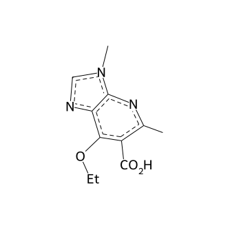 CCOc1c(C(=O)O)c(C)nc2c1ncn2C